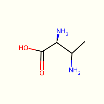 CC(N)[C@H](N)C(=O)O